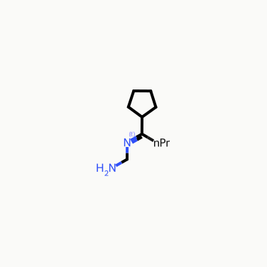 CCC/C(=N\CN)C1CCCC1